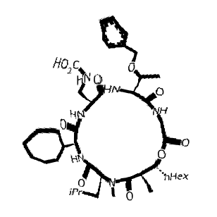 CCCCCC[C@H]1OC(=O)CNC(=O)[C@H](C(C)OCc2ccccc2)NC(=O)[C@H](CNC(=O)O)NC(=O)[C@H](C2CCCCCC2)NC(=O)[C@H](CC(C)C)N(C)C(=O)[C@@H]1C